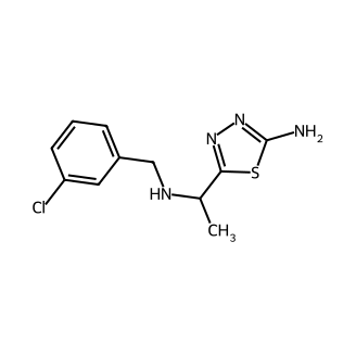 CC(NCc1cccc(Cl)c1)c1nnc(N)s1